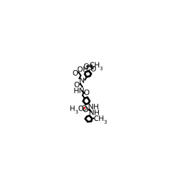 COc1cc(CC(=O)NCC(=O)N(CCC(=O)O)Cc2ccc(S(C)(=O)=O)cc2)ccc1NC(=O)Nc1ccccc1C